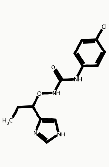 CCC(ONC(=O)Nc1ccc(Cl)cc1)c1c[nH]cn1